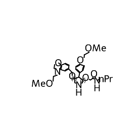 CCCNC(=O)CO[C@@H]1CNC[C@H](OCc2ccc3c(c2)N(CCCOC)CCO3)C1c1ccc(OCCCOC)cc1